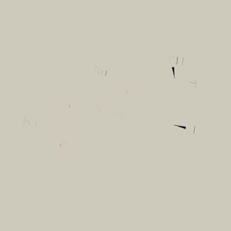 CC(C)(C)C(=O)Oc1ccc2c(c1OC(=O)C(C)(C)C)[C@H]1CC[C@]3(C)CCC[C@H]3[C@@H]1CC2